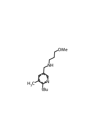 COCCCNCc1cnc(C(C)(C)C)c(C)c1